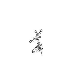 CCCCCC(C(=O)NCNC(=O)c1ccc(-c2ccc(C(=O)NC(CC(=O)OCc3ccccc3)C(=O)OCc3ccccc3)c(OCC(=O)OCc3ccccc3)c2)o1)[C@@H](CC)N(C=O)OC(=O)c1ccc(CN2CCOCC2)cc1C